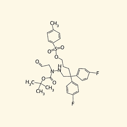 Cc1ccc(S(=O)(=O)OCCCC(CNN(CC=O)C(=O)OC(C)(C)C)(c2ccc(F)cc2)c2ccc(F)cc2)cc1